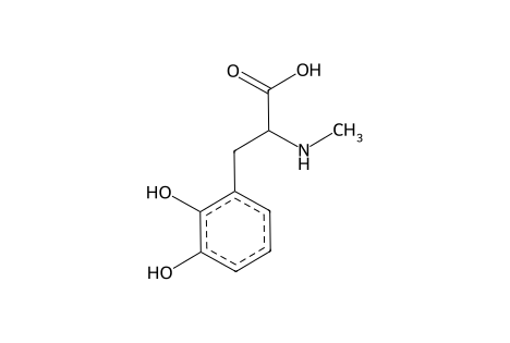 CNC(Cc1cccc(O)c1O)C(=O)O